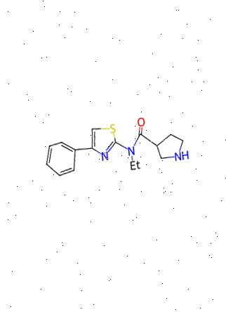 CCN(C(=O)C1CCNC1)c1nc(-c2ccccc2)cs1